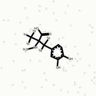 [2H]C([2H])([2H])C(NN)(C(=O)O)C([2H])([2H])c1ccc(O)c(O)c1